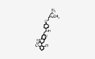 CCN(CC)CCOc1ccc(NCc2cc3[nH]c(=O)c(-c4c(Cl)cccc4Cl)cc3cn2)cc1